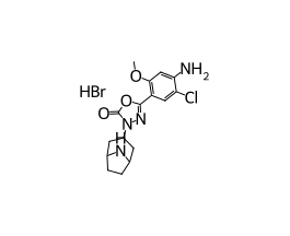 Br.COc1cc(N)c(Cl)cc1-c1nn(C2CC3CCC(C2)N3)c(=O)o1